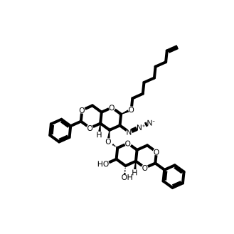 C=CCCCCCCO[C@@H]1OC2COC(c3ccccc3)O[C@H]2[C@H](O[C@@H]2OC3COC(c4ccccc4)O[C@@H]3[C@H](O)C2O)C1N=[N+]=[N-]